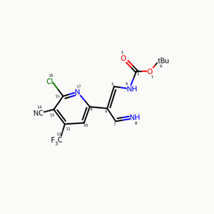 CC(C)(C)OC(=O)N/C=C(\C=N)c1cc(C(F)(F)F)c(C#N)c(Cl)n1